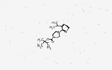 CC(C)c1cccnc1N1CCN(C(=O)OC(C)(C)C)CC1